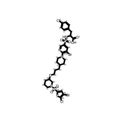 O=C(O)C(Cc1ccc(Cl)cc1)NS(=O)(=O)c1cnc(N2CCC(CCCOC3CCCN(S(=O)(=O)c4cc(Br)c(Cl)s4)C3)CC2)c(Br)c1